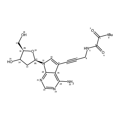 CC(C)(C)C(=O)C(=O)NCC#Cc1cn([C@H]2CC(O)[C@@H](CO)O2)c2ncnc(N)c12